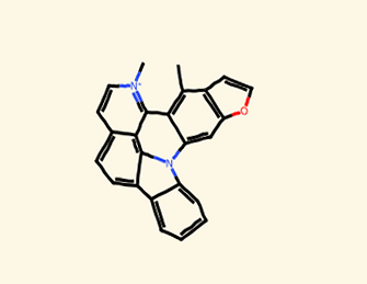 Cc1c2ccoc2cc2c1c1c3c(ccc4c5ccccc5n2c43)cc[n+]1C